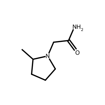 CC1CCCN1CC(N)=O